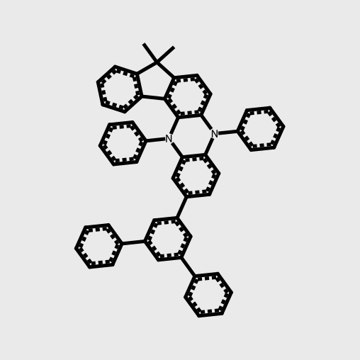 CC1(C)c2ccccc2-c2c1ccc1c2N(c2ccccc2)c2cc(-c3cc(-c4ccccc4)cc(-c4ccccc4)c3)ccc2N1c1ccccc1